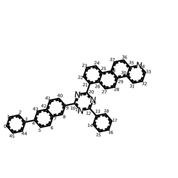 c1ccc(-c2ccc3cc(-c4nc(-c5ccccc5)nc(-c5cccc6c5ccc5c7cccnc7ccc65)n4)ccc3c2)cc1